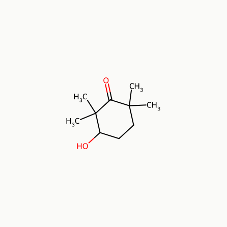 CC1(C)CCC(O)C(C)(C)C1=O